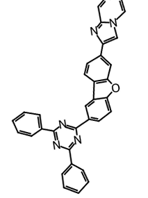 c1ccc(-c2nc(-c3ccccc3)nc(-c3ccc4oc5cc(-c6cn7ccccc7n6)ccc5c4c3)n2)cc1